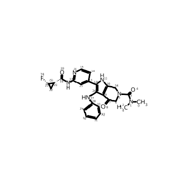 CN(C)C(=O)N1CC(=O)c2c([nH]c(-c3ccnc(NC(=O)[C@@H]4C[C@@H]4F)c3)c2Nc2ccccc2)C1